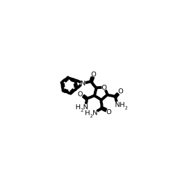 NC(=O)C1OC(C(=O)N2c3ccccc32)C(C(N)=O)C1C(N)=O